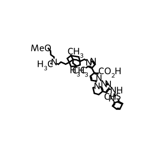 COCCCN(C)CCCC12CC3(C)CC4(Cn5ncc(-c6ccc(N7CCCc8c7nnc(Nc7nc9ccccc9s7)c8C)nc6C(=O)O)c5C)CC(C)(C1)C2(C3)C4